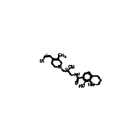 CC/C=C\C1=C(C)CN(C[C@@H](O)CNC(=O)c2ccc3c(c2O)NCCC3)CC1